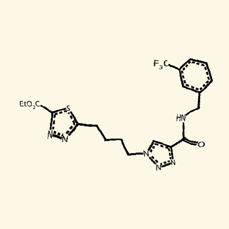 CCOC(=O)c1nnc(CCCCn2cc(C(=O)NCc3cccc(C(F)(F)F)c3)nn2)s1